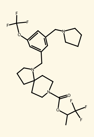 CC(OC(=O)N1CCC2(CCCN2Cc2cc(CN3CCCC3)cc(OC(F)(F)F)c2)CC1)C(F)(F)F